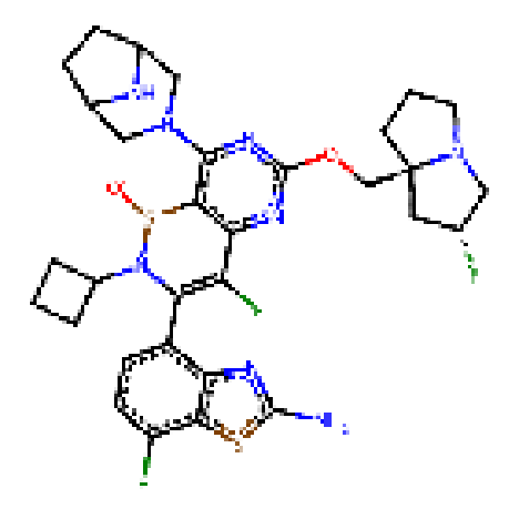 Nc1nc2c(C3=C(F)c4nc(OC[C@@]56CCCN5C[C@H](F)C6)nc(N5CC6CCC(C5)N6)c4[S+]([O-])N3C3CCC3)ccc(F)c2s1